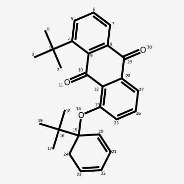 CC(C)(C)c1cccc2c1C(=O)c1c(OC3(C(C)(C)C)C=CC=CC3)cccc1C2=O